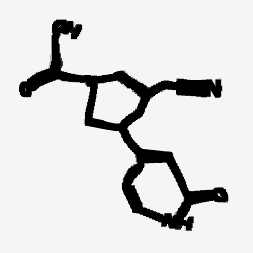 N#CC1CN(C(=O)O)CC1c1cc[nH]c(=O)c1